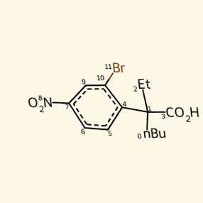 CCCCC(CC)(C(=O)O)c1ccc([N+](=O)[O-])cc1Br